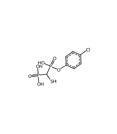 O=P(O)(O)C(S)P(=O)(O)Oc1ccc(Cl)cc1